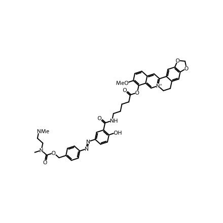 CNCCN(C)C(=O)OCc1ccc(/N=N/c2ccc(O)c(C(=O)NCCCCC(=O)Oc3c(OC)ccc4cc5[n+](cc34)CCc3cc4c(cc3-5)OCO4)c2)cc1